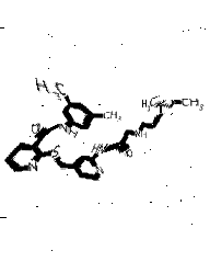 Cc1cc(C)cc(NC(=O)c2cccnc2SCc2ccnc(NC(=O)CNCCN(C)C)c2)c1